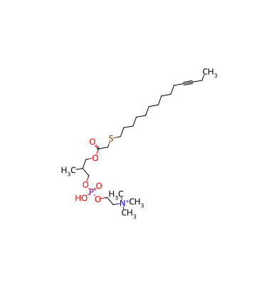 CCC#CCCCCCCCCCCSCC(=O)OCC(C)COP(=O)(O)OCC[N+](C)(C)C